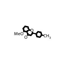 COc1cccc2oc(-c3ccc(C)cc3)cc(=O)c12